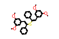 COc1cc(/C=C(/S/C(=C/c2cc(OC)cc(OC)c2)c2ccccc2)c2ccccc2)cc(OC)c1